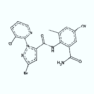 Cc1cc(C#N)cc(C(N)=O)c1NC(=O)c1cc(Br)nn1-c1ncccc1Cl